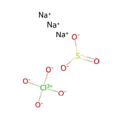 O=S([O-])[O-].[Na+].[Na+].[Na+].[O-][Cl+3]([O-])([O-])[O-]